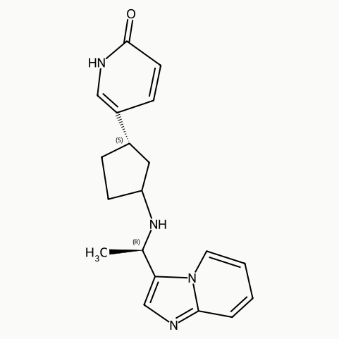 C[C@@H](NC1CC[C@H](c2ccc(=O)[nH]c2)C1)c1cnc2ccccn12